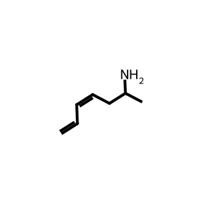 C=C/C=C\CC(C)N